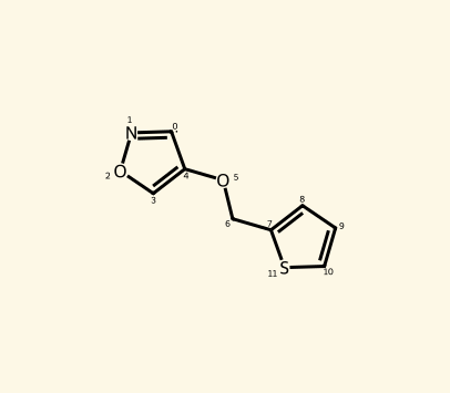 [c]1nocc1OCc1cccs1